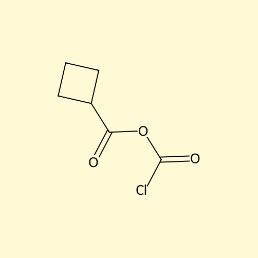 O=C(Cl)OC(=O)C1CCC1